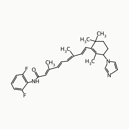 CC1=C(/C=C/C(C)=C/C=C/C(C)=C/C(=O)Nc2c(F)cccc2F)C(C)(C)CCC1n1ccnc1